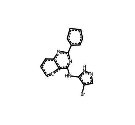 Brc1cn[nH]c1Nc1nc(-c2ccccc2)nc2ccccc12